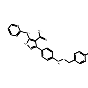 Cc1ccc(CSNc2ccc(-c3n[nH]c(Nc4ccccn4)c3C(N)=O)cc2)cc1